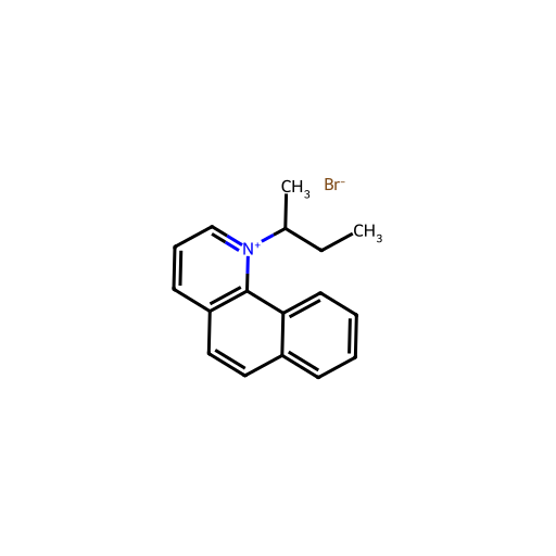 CCC(C)[n+]1cccc2ccc3ccccc3c21.[Br-]